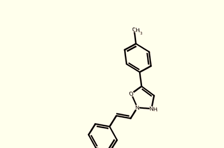 Cc1ccc(C2=CNN(C=Cc3ccccc3)O2)cc1